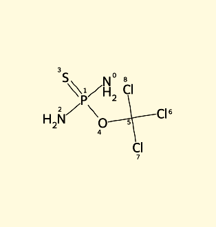 NP(N)(=S)OC(Cl)(Cl)Cl